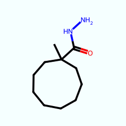 CC1(C(=O)NN)CCCCCCCC1